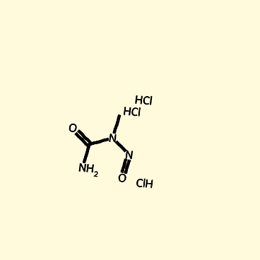 CN(N=O)C(N)=O.Cl.Cl.Cl